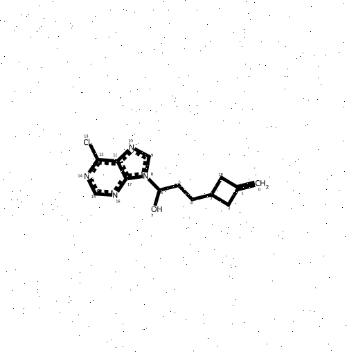 C=C1CC(CCC(O)n2cnc3c(Cl)ncnc32)C1